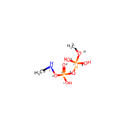 CNOP(=O)(O)O[PH](O)(O)OC